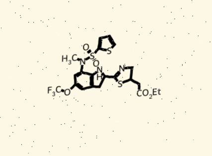 CCOC(=O)CC1CN=C(C2Cc3cc(OC(F)(F)F)cc(N(C)S(=O)(=O)c4cccs4)c3N2)S1